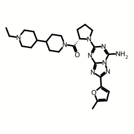 CCN1CCC(C2CCN(C(=O)[C@@H]3CCCN3c3nc(N)n4nc(-c5ccc(C)o5)nc4n3)CC2)CC1